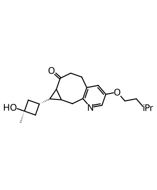 CC(C)CCOc1cnc2c(c1)CCC(=O)C1C(C2)C1[C@H]1C[C@](C)(O)C1